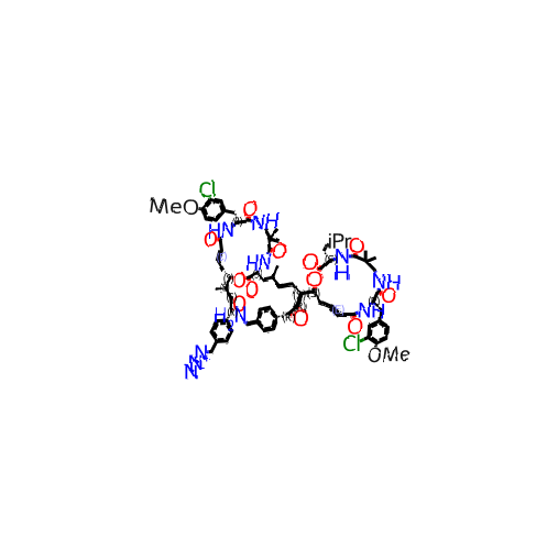 COc1ccc(C[C@H]2NC(=O)/C=C/C[C@@H]([C@H](C)[C@H]3O[C@@H]3c3ccc(CN=[N+]=[N-])cc3)OC(=O)[C@H](CC(C)CC[C@H]([C@H]3O[C@@H]3c3ccc(CN)cc3)[C@@H]3C/C=C/C(=O)N[C@H](Cc4ccc(OC)c(Cl)c4)C(=O)NCC(C)(C)C(=O)N[C@@H](CC(C)C)C(=O)O3)NC(=O)C(C)(C)CNC2=O)cc1Cl